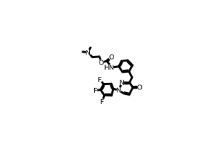 CN(C)CCOC(=O)Nc1cccc(Cc2nn(-c3cc(F)c(F)c(F)c3)ccc2=O)c1